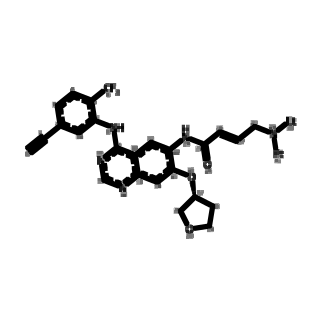 C#Cc1ccc(C(F)(F)F)c(Nc2ncnc3cc(O[C@H]4CCOC4)c(NC(=O)C=CCN(CC)CC)cc23)c1